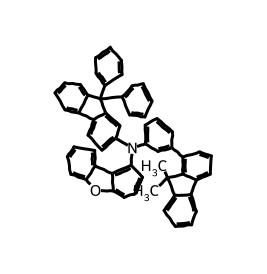 CC1(C)c2ccccc2-c2cccc(-c3cccc(N(c4ccc5c(c4)C(c4ccccc4)(c4ccccc4)c4ccccc4-5)c4cccc5oc6ccccc6c45)c3)c21